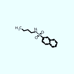 CCCCNS(=O)(=O)c1ccc2ccccc2c1